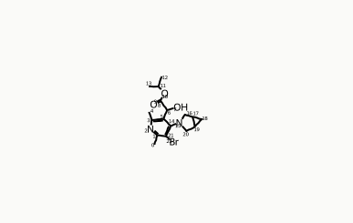 Cc1nc(C)c(C(O)C(=O)OC(C)C)c(N2CC3CC3C2)c1Br